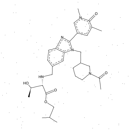 CC(=O)N1CCCC(Cn2c(-c3cc(C)c(=O)n(C)c3)nc3ccc(CN[C@H](C(=O)OCC(C)C)[C@@H](C)O)cc32)C1